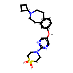 O=S1(=O)CCN(c2ncc(Oc3ccc4c(c3)CCN(C3CCC3)CC4)cn2)CC1